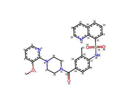 COc1cccnc1N1CCN(C(=O)c2ccc(NS(=O)(=O)c3cccc4cccnc34)c(C)c2)CC1